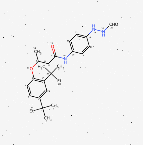 CCC(C)(C)c1ccc(OC(C)CC(=O)Nc2ccc(NNC=O)cc2)c(C(C)(C)CC)c1